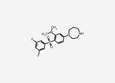 CN(C)c1cc(N2CCCNCC2)ccc1S(=O)(=O)c1cc(F)cc(F)c1